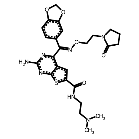 CN(C)CCNC(=O)c1cc2c(C(=NOCCN3CCCC3=O)c3ccc4c(c3)OCO4)nc(N)nc2s1